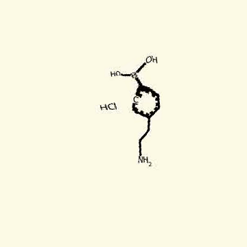 Cl.NCCc1ccc(B(O)O)cc1